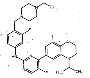 CCN1CCN(Cc2ccc(Nc3ncc(F)c(-c4cc(F)c5c(c4)N(C(C)C)CCO5)n3)cc2F)CC1